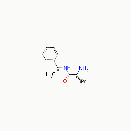 CC(C)[C@H](N)C(=O)N[C@H](C)c1ccccc1